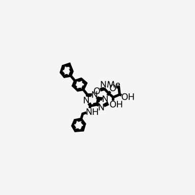 CNC(=O)C1(n2cnc3c(NCc4ccccc4)nc(-c4ccc(-c5ccccc5)cc4)nc32)OCC(O)C1O